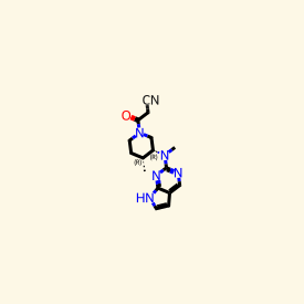 C[C@@H]1CCN(C(=O)CC#N)C[C@@H]1N(C)c1ncc2cc[nH]c2n1